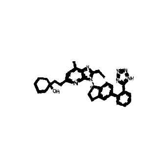 CCc1nc2c(C)cc(CCC3(O)CCCCC3)nc2n1[C@H]1CCc2cc(-c3ccccc3-c3nnn[nH]3)ccc21